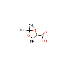 CC1(C)OCC(C(=O)O)O1.[KH]